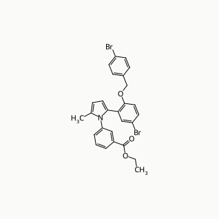 CCOC(=O)c1cccc(-n2c(C)ccc2-c2cc(Br)ccc2OCc2ccc(Br)cc2)c1